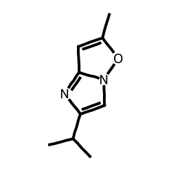 Cc1cc2nc(C(C)C)cn2o1